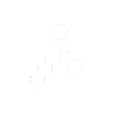 Brc1cc2ccccc2cc1-n1c2ccccc2c2cc3ccccc3cc21